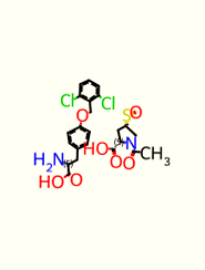 CC(=O)N1CC(=S=O)C[C@H]1C(=O)O.N[C@@H](Cc1ccc(OCc2c(Cl)cccc2Cl)cc1)C(=O)O